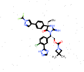 CC(C)(C)C[C@]1(c2ccc(-c3cnn(C(F)F)c3)cc2)NC(=N)N([C@H](COC(=O)N2CC(C)(C)C2)c2ccc(Cl)c(-c3ncn[nH]3)c2)C1=O